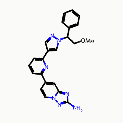 COCC(c1ccccc1)n1cc(-c2cccc(-c3ccn4nc(N)nc4c3)n2)cn1